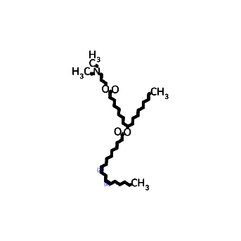 CCCCC/C=C\C/C=C\CCCCCCCC(=O)OC(CCCCCCCCC)CCCCCCCC(=O)OCCCN(CC)CC